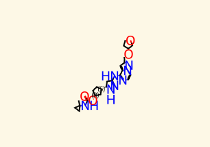 CC1(NC(=O)O[C@@H]2CC[C@H](C3CC(Nc4nccn5nc(COC6CCOC6)cc45)=NN3)C2)CC1